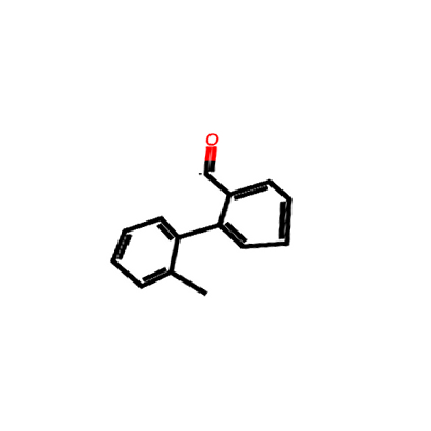 Cc1ccccc1-c1ccccc1[C]=O